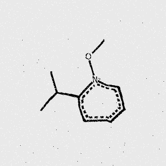 CO[n+]1ccccc1C(C)C